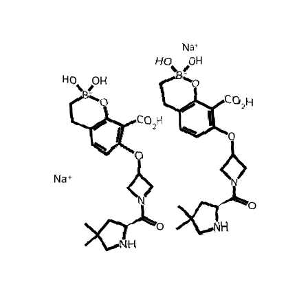 CC1(C)CN[C@H](C(=O)N2CC(Oc3ccc4c(c3C(=O)O)O[B-](O)(O)CC4)C2)C1.CC1(C)CN[C@H](C(=O)N2CC(Oc3ccc4c(c3C(=O)O)O[B-](O)(O)CC4)C2)C1.[Na+].[Na+]